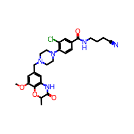 COc1cc(CN2CCN(c3ccc(C(=O)NCCCC#N)cc3Cl)CC2)cc2c1OC(C)C(=O)N2